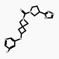 O=C(N1CCC(c2nnc[nH]2)C1)N1CC2(CC(Oc3cncc(Cl)c3)C2)C1